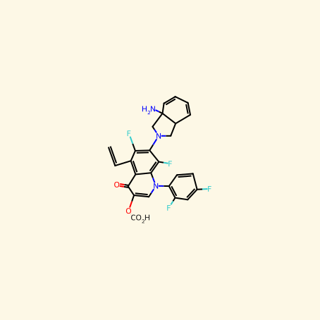 C=Cc1c(F)c(N2CC3C=CC=CC3(N)C2)c(F)c2c1c(=O)c(OC(=O)O)cn2-c1ccc(F)cc1F